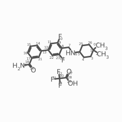 CC1(C)CCC(NCc2c(F)cc(-c3cccc(C(N)=O)c3)cc2F)CC1.O=C(O)C(F)(F)F